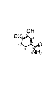 CCC1=C(O)C=C(C(N)=O)CC1